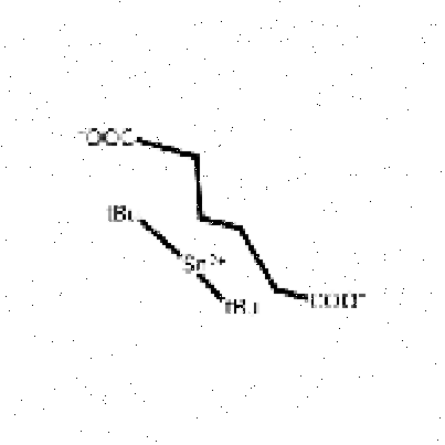 C[C](C)(C)[Sn+2][C](C)(C)C.O=C([O-])CCCCC(=O)[O-]